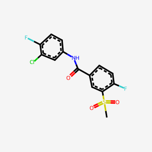 CS(=O)(=O)c1cc(C(=O)Nc2ccc(F)c(Cl)c2)ccc1F